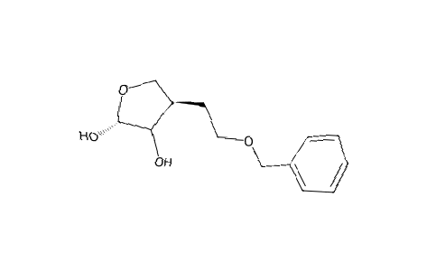 OC1[C@H](CCOCc2ccccc2)CO[C@H]1O